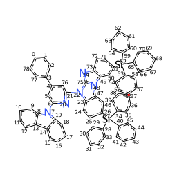 c1ccc(-c2cc(-n3c4ccccc4c4ccccc43)nc(-n3c4ccc([Si](c5ccccc5)(c5ccccc5)c5ccccc5)cc4n4c5cc([Si](c6ccccc6)(c6ccccc6)c6ccccc6)ccc5nc34)c2)cc1